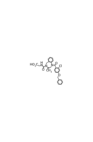 C[C@@H]1CN(C(=O)c2ccc(OCc3ccccc3)cc2Cl)c2ccccc2CN1C(=O)NCC(=O)O